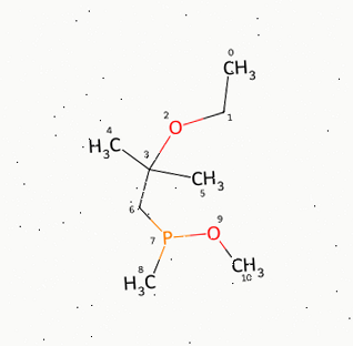 CCOC(C)(C)CP(C)OC